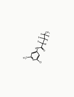 Cc1cc(NC(=O)C(F)(F)C(F)(F)C(C)(F)F)cc(Cl)n1